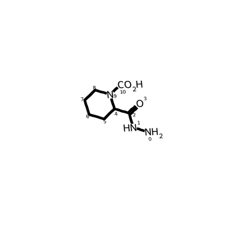 NNC(=O)C1CCCCN1C(=O)O